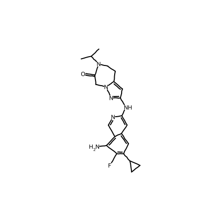 CC(C)N1CCc2cc(Nc3cc4cc(C5CC5)c(F)c(N)c4cn3)nn2CC1=O